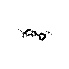 Cc1cccc(-c2cn3ccc(NC(C)C)nc3n2)c1